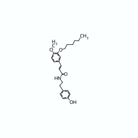 CCCCCCOc1cc(/C=C/C(=O)NCCc2ccc(O)cc2)ccc1OC